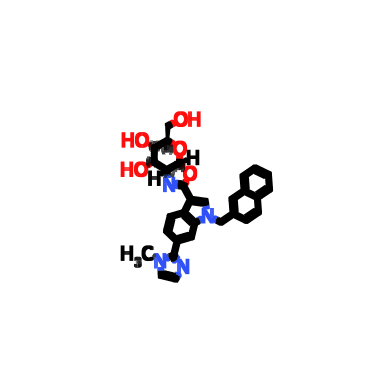 Cn1ccnc1-c1ccc2c(C3=N[C@H]4[C@@H](O3)O[C@H](CO)[C@@H](O)[C@@H]4O)cn(Cc3ccc4ccccc4c3)c2c1